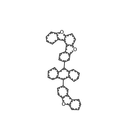 c1ccc2c(c1)oc1ccc(-c3c4ccccc4c(-c4ccc5c(c4)oc4ccc6oc7ccccc7c6c45)c4ccccc34)cc12